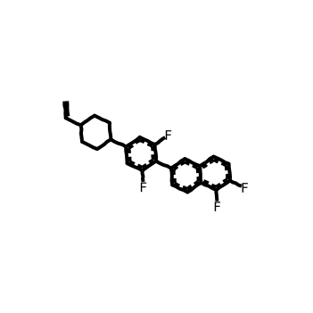 C=CC1CCC(c2cc(F)c(-c3ccc4c(F)c(F)ccc4c3)c(F)c2)CC1